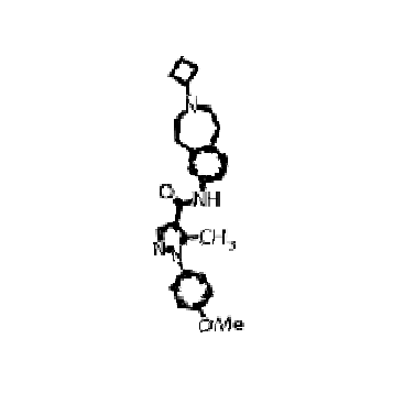 COc1ccc(-n2ncc(C(=O)Nc3ccc4c(c3)CCN(C3CCC3)CC4)c2C)cc1